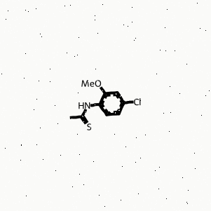 COc1cc(Cl)ccc1NC(C)=S